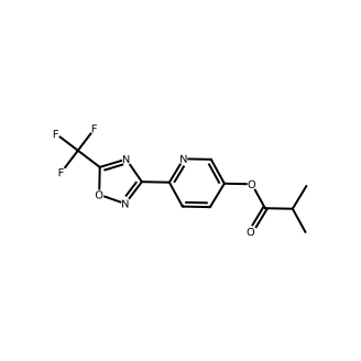 CC(C)C(=O)Oc1ccc(-c2noc(C(F)(F)F)n2)nc1